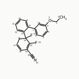 CCOc1cccc(-c2ccccc2C2(F)CC=CC(C#N)=C2F)c1